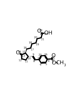 COC(=O)c1ccc(C=C[C@@H]2CCC(=O)[C@H]2CCCCCCC(=O)O)cc1